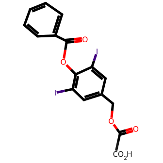 O=C(O)C(=O)OCc1cc(I)c(OC(=O)c2ccccc2)c(I)c1